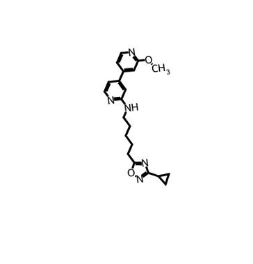 COc1cc(-c2ccnc(NCCCCCc3nc(C4CC4)no3)c2)ccn1